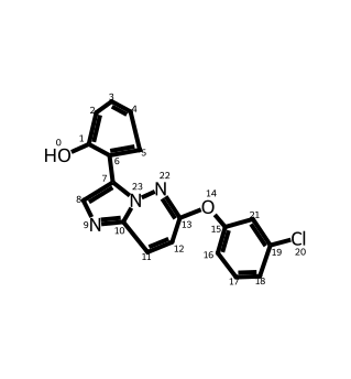 Oc1ccccc1-c1cnc2ccc(Oc3cccc(Cl)c3)nn12